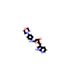 O=C1C=C(Nc2ccc(N3CCOCC3)cc2)O/C1=C\c1c[nH]c2ncccc12